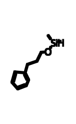 C[SiH](C)OCCCc1ccccc1